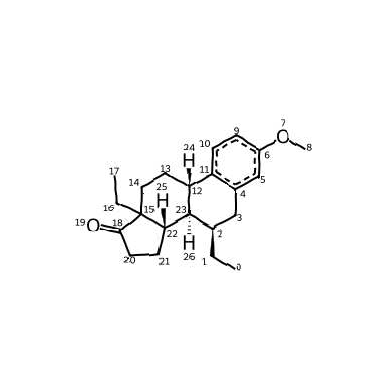 CC[C@@H]1Cc2cc(OC)ccc2[C@H]2CCC3(CC)C(=O)CC[C@H]3[C@H]12